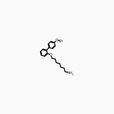 CCOc1ccc(-c2ccccc2OCCCCCCCN)cc1